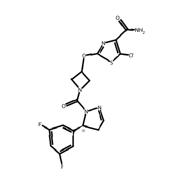 NC(=O)c1nc(OC2CN(C(=O)N3N=CC[C@H]3c3cc(F)cc(F)c3)C2)sc1Cl